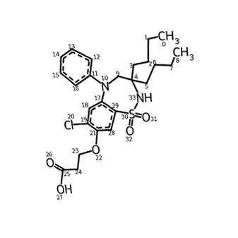 CCCCC1(CCCC)CN(c2ccccc2)c2cc(Cl)c(OCCC(=O)O)cc2S(=O)(=O)N1